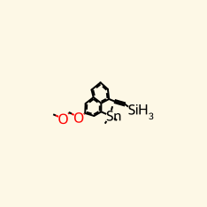 COCOc1c[c]([Sn]([CH3])([CH3])[CH3])c2c(C#C[SiH3])cccc2c1